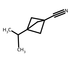 CC(C)C12CC(C#N)(C1)C2